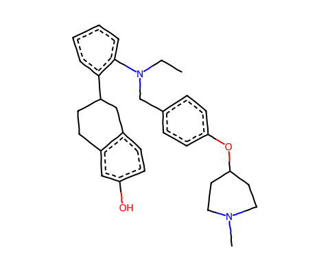 CCN(Cc1ccc(OC2CCN(C)CC2)cc1)c1ccccc1C1CCc2cc(O)ccc2C1